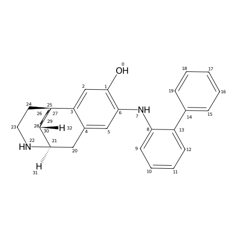 Oc1cc2c(cc1Nc1ccccc1-c1ccccc1)C[C@H]1NCC[C@@]23CCCC[C@@H]13